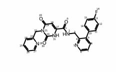 O=C(NCc1ncccc1-c1ccc(F)cc1)c1cc(=O)n(Cc2ccccn2)c(=O)[nH]1